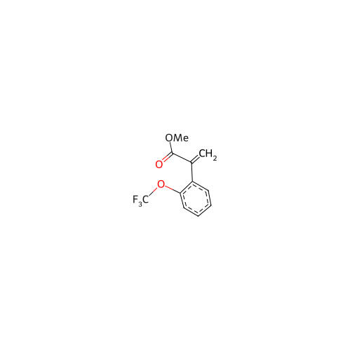 C=C(C(=O)OC)c1ccccc1OC(F)(F)F